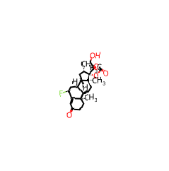 CC(=O)O[C@@]1(C(=O)CO)[C@@H](C)C[C@H]2[C@@H]3C[C@H](F)C4=CC(=O)CC[C@]4(C)C3=CC[C@@]21C